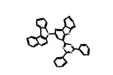 c1ccc(-c2nc(-c3ccccc3)nc(-c3cc(-n4c5ccccc5c5c6ccccc6ccc54)cc4c3oc3ccccc34)n2)cc1